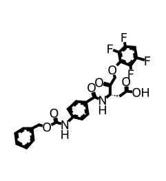 O=C(O)C[C@H](NC(=O)c1ccc(NC(=O)OCc2ccccc2)cc1)C(=O)COc1c(F)c(F)cc(F)c1F